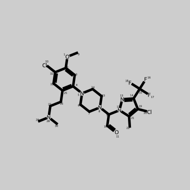 COc1cc(N2CCN(C(C=O)n3nc(C(F)(F)F)c(Cl)c3C)CC2)c(CCN(C)C)cc1Cl